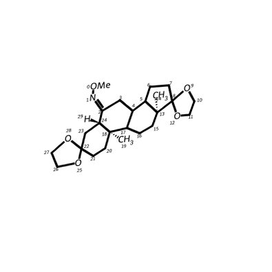 CO/N=C1\CC2C3CCC4(OCCO4)[C@@]3(C)CCC2[C@@]2(C)CCC3(C[C@H]12)OCCO3